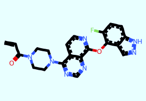 C=CC(=O)N1CCN(c2ncnc3c(Oc4c(F)ccc5[nH]ncc45)nccc23)CC1